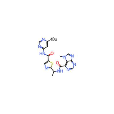 CC(NC(=O)c1ncnc2ncn(C)c12)c1ncc(C(=O)Nc2cc(C(C)(C)C)ncn2)s1